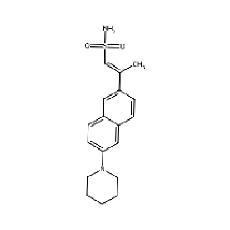 CC(=CS(N)(=O)=O)c1ccc2cc(N3CCCCC3)ccc2c1